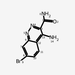 NC(=O)c1nnc2cc(Br)ccc2c1N